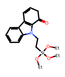 CCO[Si](CCn1c2c(c3ccccc31)C=CCC2=O)(OCC)OCC